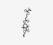 C=CCOC(=O)N1C(C)(C)CC(OC(=O)CCCOC(=O)C(=C)C)CC1(C)C